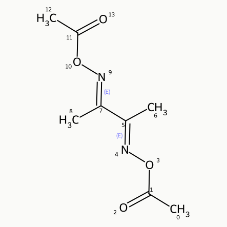 CC(=O)O/N=C(C)/C(C)=N/OC(C)=O